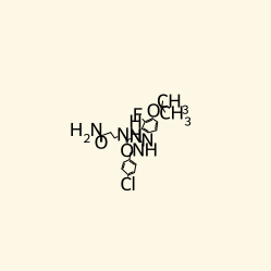 CC(C)Oc1ccc(/N=C(/NCc2ccc(Cl)cc2)NC(=O)NCCC(N)=O)cc1F